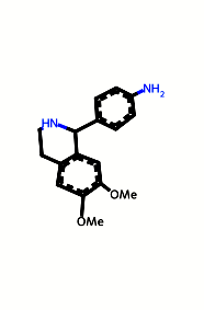 COc1cc2c(cc1OC)C(c1ccc(N)cc1)NCC2